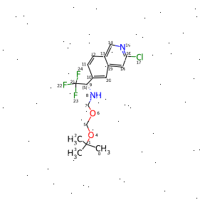 CC(C)(C)OCOCN[C@@H](c1ccc2cnc(Cl)cc2c1)C(F)(F)F